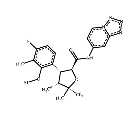 CCOc1c([C@@H]2[C@@H](C(=O)Nc3ccn4nnnc4c3)O[C@](C)(C(F)(F)F)[C@@H]2C)ccc(F)c1C